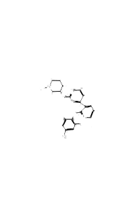 Cc1cc(N)cc(C)c1Oc1ncccc1-c1ccnc(NC2CCCN(C(C)(C)C)C2)n1